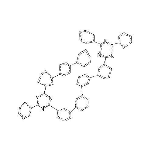 c1ccc(-c2ccc(-c3cccc(-c4nc(-c5ccccc5)nc(-c5cccc(-c6cccc(-c7cccc(-c8cccc(-c9nc(-c%10ccccc%10)nc(-c%10ccccc%10)n9)c8)c7)c6)c5)n4)c3)cc2)cc1